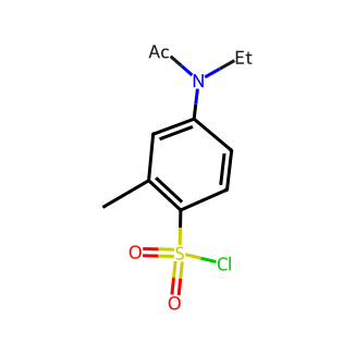 CCN(C(C)=O)c1ccc(S(=O)(=O)Cl)c(C)c1